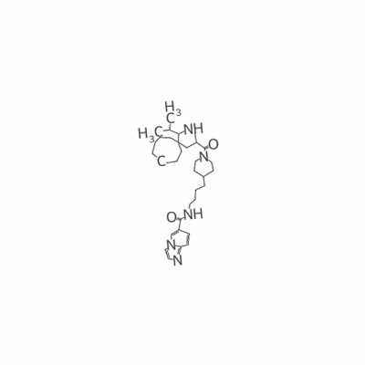 CC(C)C1NCC(C(=O)N2CCC(CCCCNC(=O)c3ccc4nccn4c3)CC2)CC12CCCCCCCC2